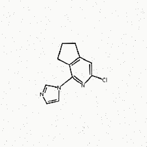 Clc1cc2c(c(-n3ccnc3)n1)CCC2